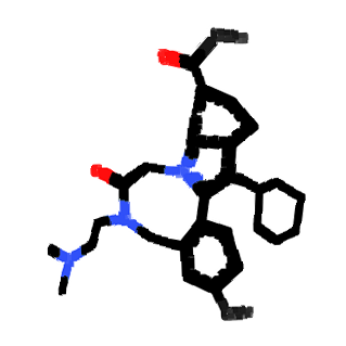 COC(=O)c1ccc2c(C3CCCCC3)c3n(c2c1)CC(=O)N(CCN(C)C)Cc1cc(OC)ccc1-3